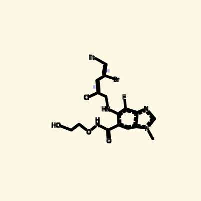 CC/C=C(Br)\C=C(\Cl)CNc1c(C(=O)NOCCO)cc2c(ncn2C)c1F